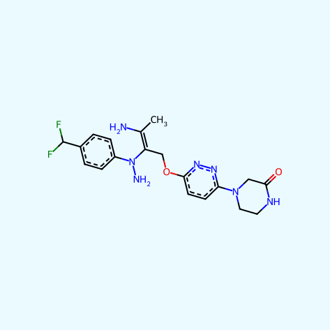 C/C(N)=C(\COc1ccc(N2CCNC(=O)C2)nn1)N(N)c1ccc(C(F)F)cc1